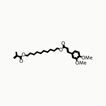 C=C(C)C(=O)OCCCCCCCCCCOC(=O)C=Cc1ccc(OC)c(OC)c1